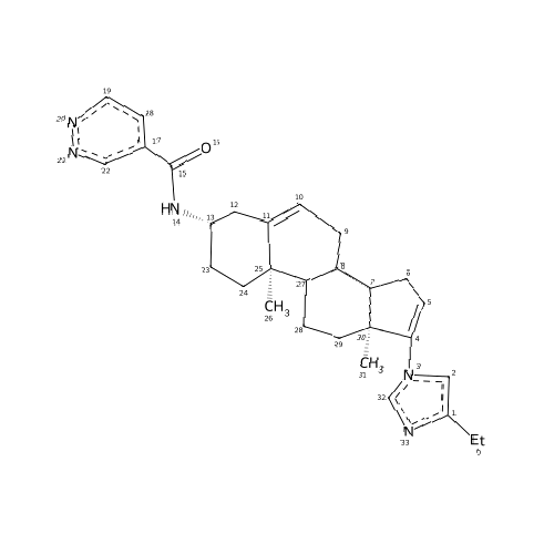 CCc1cn(C2=CCC3C4CC=C5C[C@@H](NC(=O)c6ccnnc6)CC[C@]5(C)C4CC[C@]23C)cn1